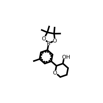 Cc1cc(B2OC(C)(C)C(C)(C)O2)cc(C2OCCCC2O)c1